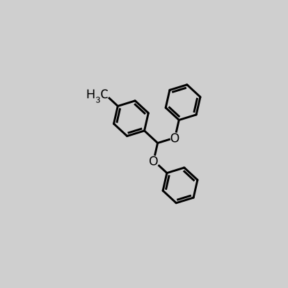 Cc1ccc(C(Oc2ccccc2)Oc2ccccc2)cc1